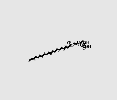 CCCCCCCCCCCCCCCCCCCC(=O)OCCOC(C)OP(=O)(O)O